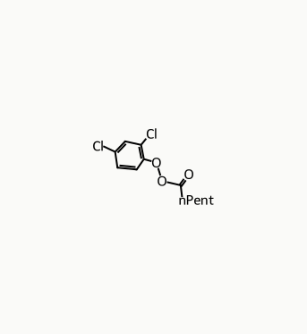 CCCCCC(=O)OOc1ccc(Cl)cc1Cl